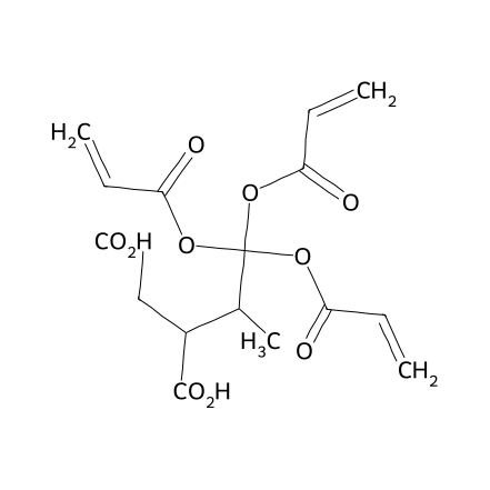 C=CC(=O)OC(OC(=O)C=C)(OC(=O)C=C)C(C)C(CC(=O)O)C(=O)O